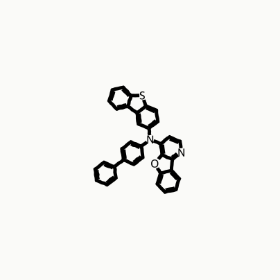 c1ccc(-c2ccc(N(c3ccc4sc5ccccc5c4c3)c3ccnc4c3oc3ccccc34)cc2)cc1